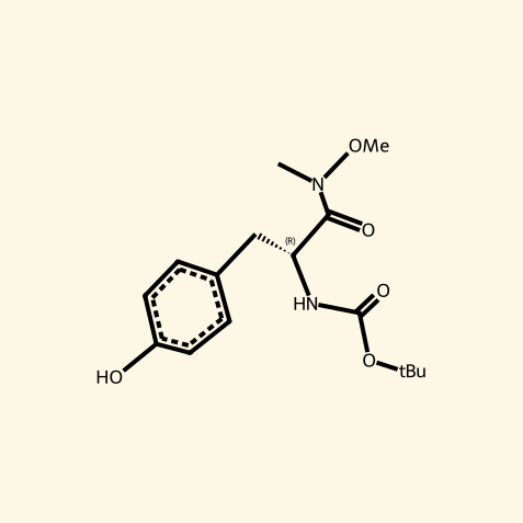 CON(C)C(=O)[C@@H](Cc1ccc(O)cc1)NC(=O)OC(C)(C)C